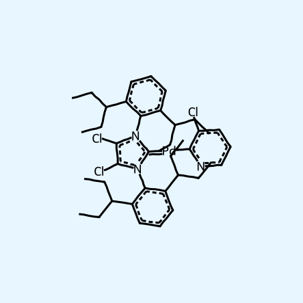 CCC(CC)c1cccc(C(CC)CC)c1-n1c(Cl)c(Cl)n(-c2c(C(CC)CC)cccc2C(CC)CC)[c]1=[Pd][c]1ncccc1Cl